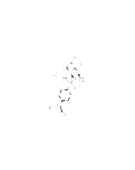 CS(=O)(=NS(=O)(=O)c1ccc([N+](=O)[O-])cc1)C1(C#N)CCCC1